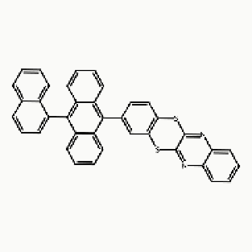 c1ccc2c(-c3c4ccccc4c(-c4ccc5c(c4)Sc4nc6ccccc6nc4S5)c4ccccc34)cccc2c1